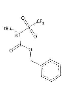 CC(C)(C)[C@@H](C(=O)OCc1ccccc1)S(=O)(=O)C(F)(F)F